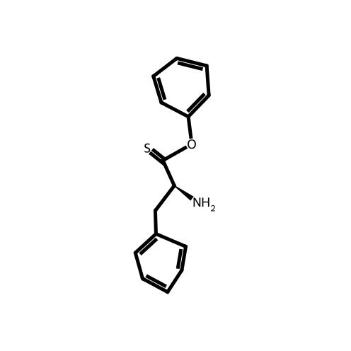 N[C@@H](Cc1ccccc1)C(=S)Oc1ccccc1